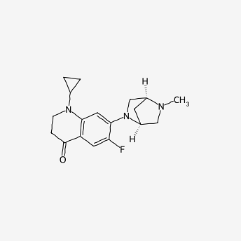 CN1C[C@@H]2C[C@H]1CN2c1cc2c(cc1F)C(=O)CCN2C1CC1